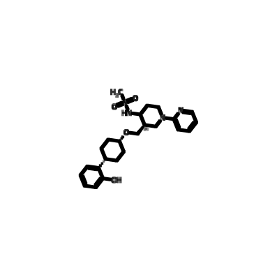 CS(=O)(=O)NC1CCN(c2ccccn2)C[C@H]1CO[C@H]1CC[C@@H](c2ccccc2O)CC1